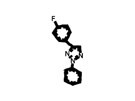 Fc1ccc(-c2cnn(-c3[c]cccc3)n2)cc1